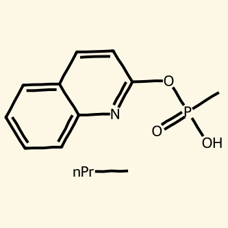 CCCC.CP(=O)(O)Oc1ccc2ccccc2n1